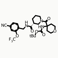 CC(C)(C)OC(=O)NC1(C(=O)N2CCC[C@@H](C(=O)NCc3ccc(C#N)cc3OC(F)(F)F)C2)CCOCC1